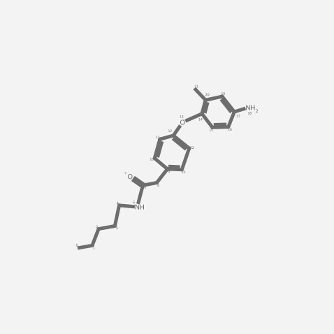 CCCCCNC(=O)Cc1ccc(Oc2ccc(N)cc2C)cc1